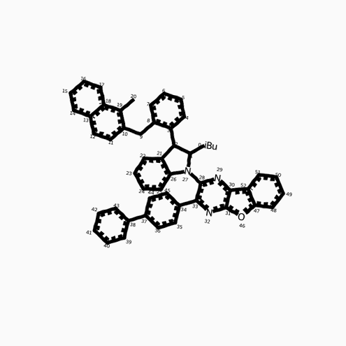 CCC(C)C1C(c2ccccc2Cc2ccc3ccccc3c2C)c2ccccc2N1c1nc2c(nc1-c1ccc(-c3ccccc3)cc1)oc1ccccc12